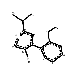 CCc1ccccc1-c1cc(C(C)C)ccc1F